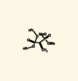 C=C(P(=O)(OC)OC)P(=O)(OCCC)OCCC